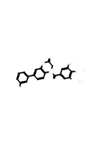 COc1cc(C(=O)N2CC(=O)Nc3cc(-c4cccc(C)c4)ccc32)cc(OC)c1OC